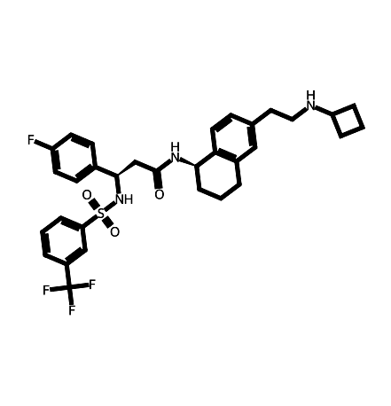 O=C(C[C@@H](NS(=O)(=O)c1cccc(C(F)(F)F)c1)c1ccc(F)cc1)N[C@@H]1CCCc2cc(CCNC3CCC3)ccc21